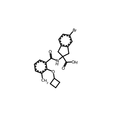 Cc1cccc(C(=O)NC2(C(=O)O)Cc3ccc(Br)cc3C2)c1OC1CCC1